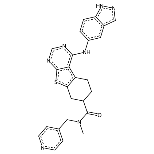 CN(Cc1ccncc1)C(=O)C1CCc2c(sc3ncnc(Nc4ccc5[nH]ncc5c4)c23)C1